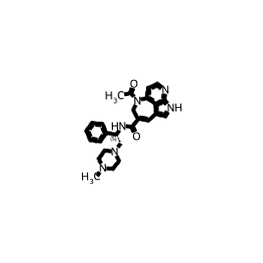 CC(=O)N1CC(C(=O)N[C@H](CN2CCN(C)CC2)c2ccccc2)=Cc2c[nH]c3nccc1c23